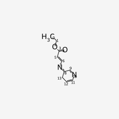 CCOC(=O)C=CN=C1C=NC=CC1